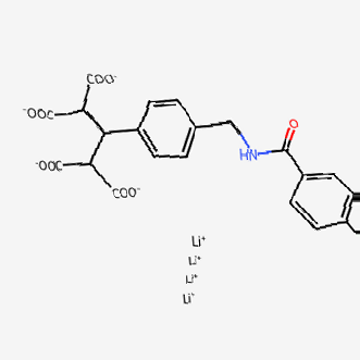 O=C(NCc1ccc(C(C(C(=O)[O-])C(=O)[O-])C(C(=O)[O-])C(=O)[O-])cc1)c1ccc(I)cc1.[Li+].[Li+].[Li+].[Li+]